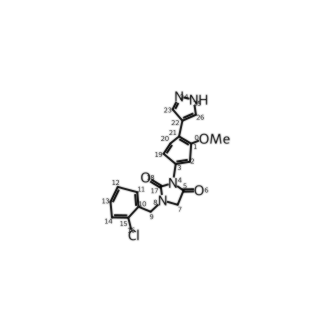 COc1cc(N2C(=O)CN(Cc3ccccc3Cl)C2=O)ccc1-c1cn[nH]c1